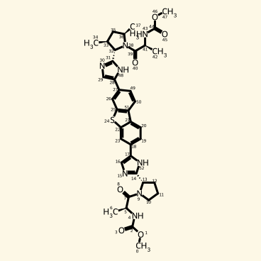 COC(=O)N[C@@H](C)C(=O)N1CCC[C@H]1c1ncc(-c2ccc3c(c2)sc2cc(-c4cnc([C@@H]5[C@@H](C)C[C@@H](C)N5C(=O)[C@H](C)NC(=O)OC)[nH]4)ccc23)[nH]1